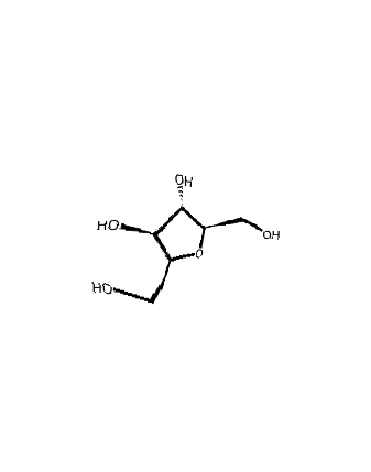 OC[C]1O[C@H](CO)[C@@H](O)[C@@H]1O